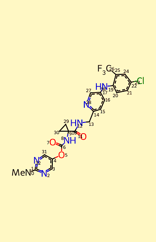 CNc1ncc(OC(=O)NC2(C(=O)NCc3ccc(Nc4ccc(Cl)cc4C(F)(F)F)cn3)CC2)cn1